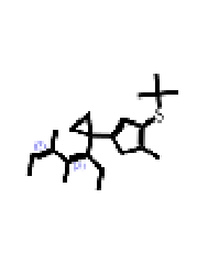 C/C=C(C)\C(C)=C(\CC)C1(C2=CC(SC(C)(C)C)=C(C)C2)CC1